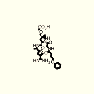 CC(NC(=O)[C@@H]1C[C@]2(COCC(=O)O)C[C@@H]2N1C(=O)CNC(=O)CCCOc1ccccc1)c1cc(C(=N)N)cs1